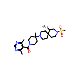 CCCCC1CN(S(C)(=O)=O)CCC12CCN(C1(C)CCN(C(=O)c3c(C)ncnc3C)CC1)CC2